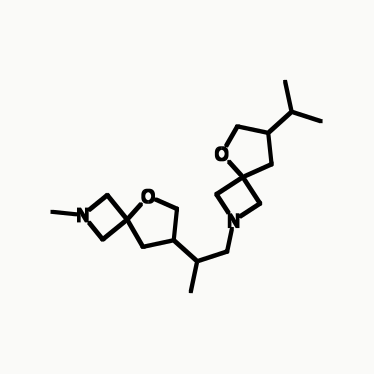 CC(C)C1COC2(C1)CN(CC(C)C1COC3(C1)CN(C)C3)C2